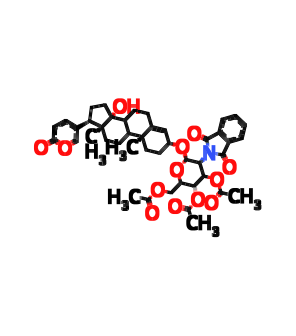 CC(=O)OCC1O[C@@H](O[C@@H]2C=C3CCC4C(CC[C@]5(C)[C@@H](c6ccc(=O)oc6)CC[C@]45O)[C@@]3(C)CC2)[C@@H](N2C(=O)c3ccccc3C2=O)C(OC(C)=O)[C@@H]1OC(C)=O